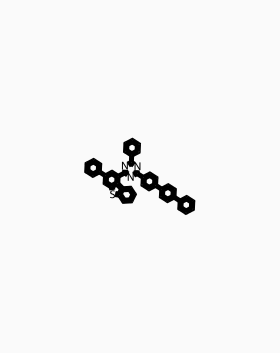 c1ccc(-c2ccc(-c3ccc(-c4nc(-c5ccccc5)nc(-c5cc(-c6ccccc6)cc6sc7ccccc7c56)n4)cc3)cc2)cc1